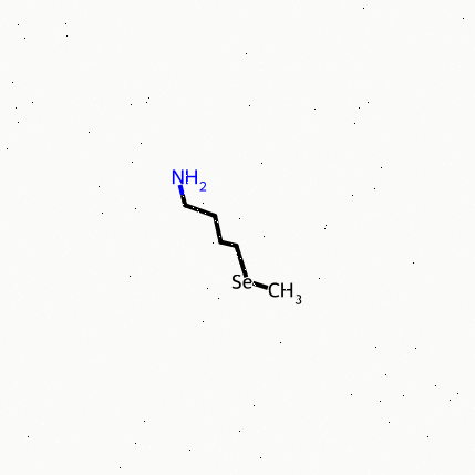 C[Se]CCCCN